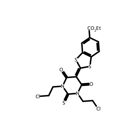 CCOC(=O)c1ccc2c(c1)SC(=C1C(=O)N(CCCl)C(=S)N(CCCl)C1=O)S2